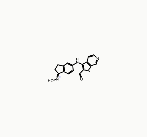 O=Cc1sc2cnccc2c1Nc1ccc2c(c1)CC/C2=N\O